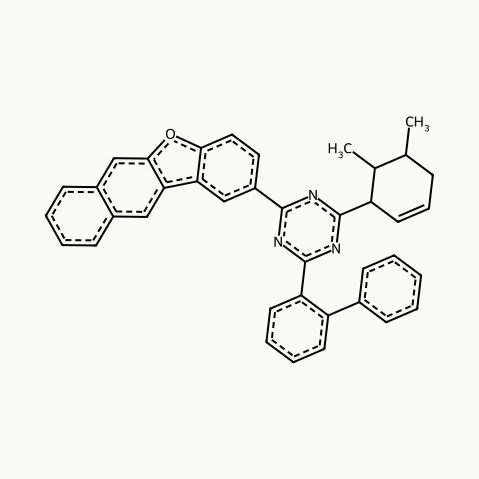 CC1CC=CC(c2nc(-c3ccc4oc5cc6ccccc6cc5c4c3)nc(-c3ccccc3-c3ccccc3)n2)C1C